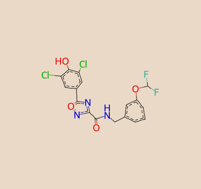 O=C(NCc1cccc(OC(F)F)c1)c1noc(-c2cc(Cl)c(O)c(Cl)c2)n1